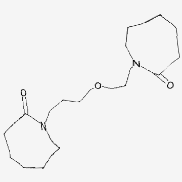 O=C1CCCCCN1CCOCN1CCCCCC1=O